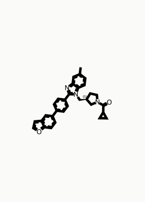 Cc1ccc2c(c1)nc(-c1ccc(-c3ccc4occc4c3)cc1)n2C[C@H]1CCN(C(=O)C2CC2)C1